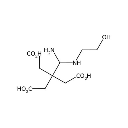 NC(NCCO)C(CC(=O)O)(CC(=O)O)CC(=O)O